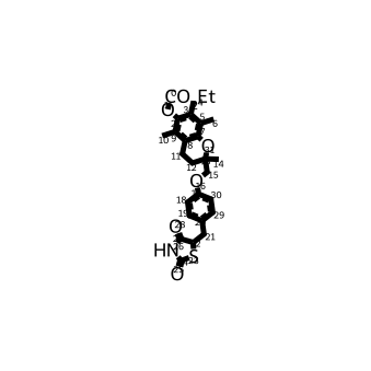 CCOC(=O)Oc1c(C)c(C)c2c(c1C)CCC(C)(COc1ccc(CC3SC(=O)NC3=O)cc1)O2